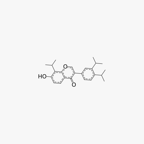 CC(C)c1ccc(-c2coc3c(C(C)C)c(O)ccc3c2=O)cc1C(C)C